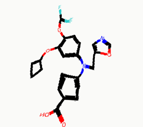 O=C(O)c1ccc(N(Cc2cnco2)c2ccc(OC(F)F)c(OC3CCC3)c2)cc1